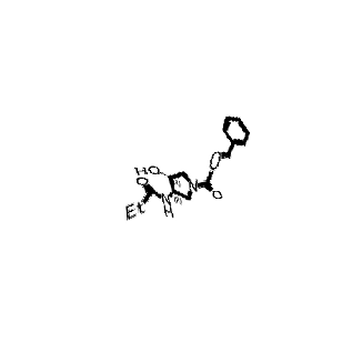 CCC(=O)N[C@@H]1CN(C(=O)OCc2ccccc2)C[C@H]1O